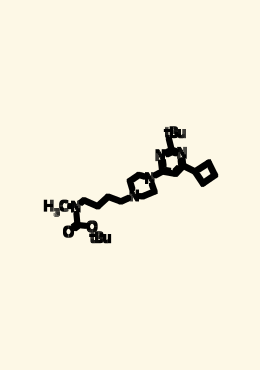 CN(CCCCN1CCN(c2cc(C3CCC3)nc(C(C)(C)C)n2)CC1)C(=O)OC(C)(C)C